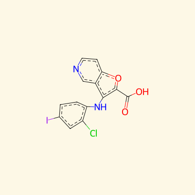 O=C(O)c1oc2ccncc2c1Nc1ccc(I)cc1Cl